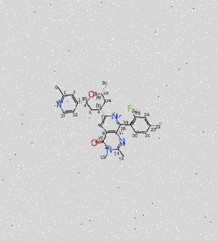 Cc1cc([C@H]2C[C@@H](c3cc4c(=O)n(C)c(C)nc4c(-c4ccc(F)cc4F)n3)C[C@@H](C)O2)ccn1